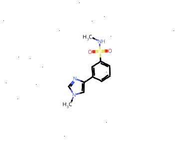 CNS(=O)(=O)c1cccc(-c2cn(C)cn2)c1